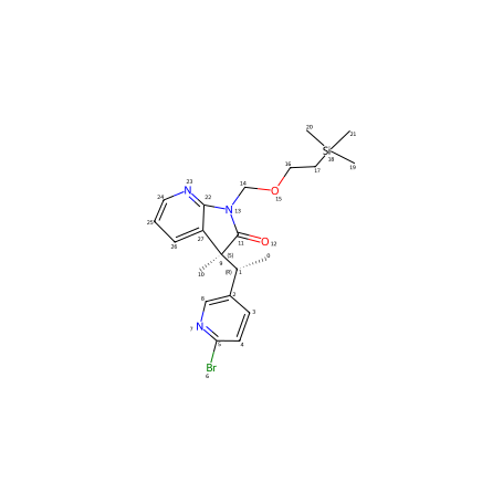 C[C@H](c1ccc(Br)nc1)[C@]1(C)C(=O)N(COCC[Si](C)(C)C)c2ncccc21